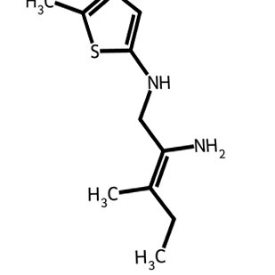 CC/C(C)=C(\N)CNc1ccc(C)s1